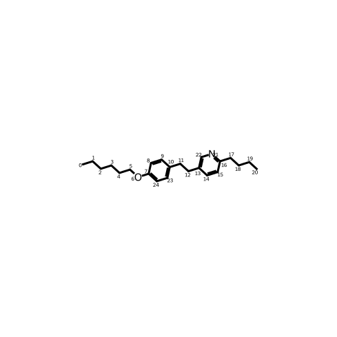 CCCCCCOc1ccc(CCc2ccc(CCCC)nc2)cc1